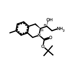 Cc1ccc2c(c1)CN(C(=O)OC(C)(C)C)[C@H]([C@H](O)CN)C2